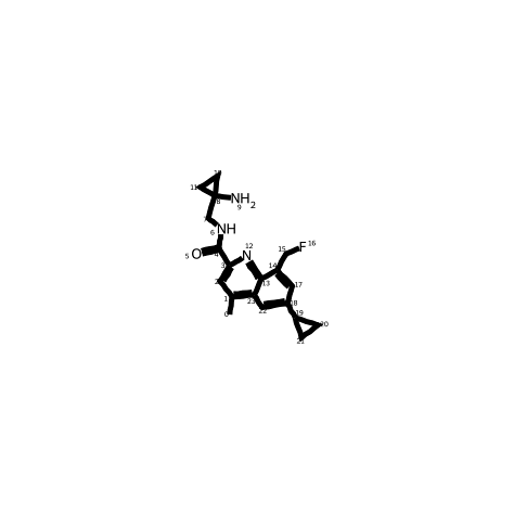 Cc1cc(C(=O)NCC2(N)CC2)nc2c(CF)cc(C3CC3)cc12